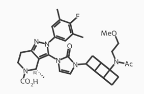 COCCN(C(C)=O)C12C3C4C1C1C2C3C41n1ccn(-c2c3c(nn2-c2cc(C)c(F)c(C)c2)CCN(C(=O)O)[C@H]3C)c1=O